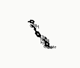 COc1cc2ncnc(Nc3ccc(C=CC(=O)NC4CCCC(C)C4)cc3)c2cc1OC